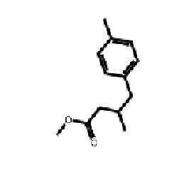 COC(=O)CC(C)Cc1ccc(C)cc1